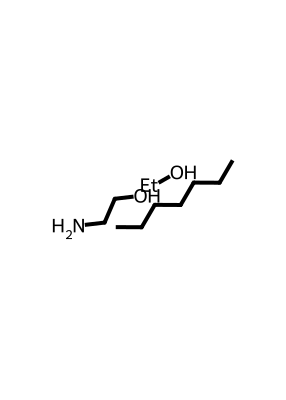 CCCCCCC.CCO.NCCO